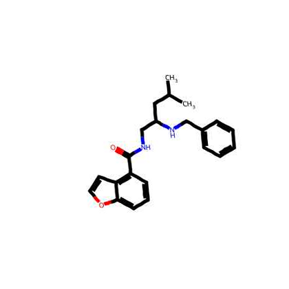 CC(C)CC(CNC(=O)c1cccc2occc12)NCc1ccccc1